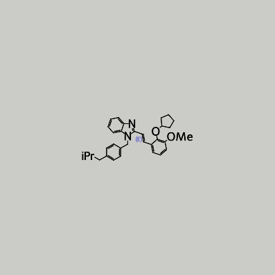 COc1cccc(/C=C/c2nc3ccccc3n2Cc2ccc(CC(C)C)cc2)c1OC1CCCC1